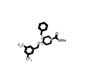 CNC(=O)N1CC[C@H](OCc2cc(C(F)(F)F)cc(C(F)(F)F)c2)[C@H](Cc2ccccc2)C1